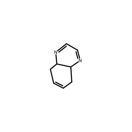 C1=CCC2N=CC=NC2C1